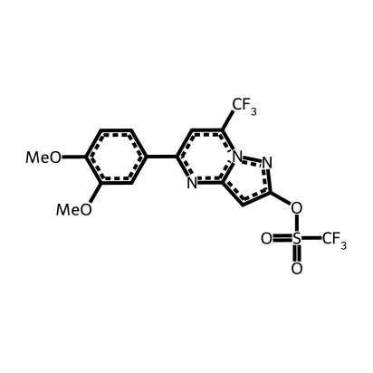 COc1ccc(-c2cc(C(F)(F)F)n3nc(OS(=O)(=O)C(F)(F)F)cc3n2)cc1OC